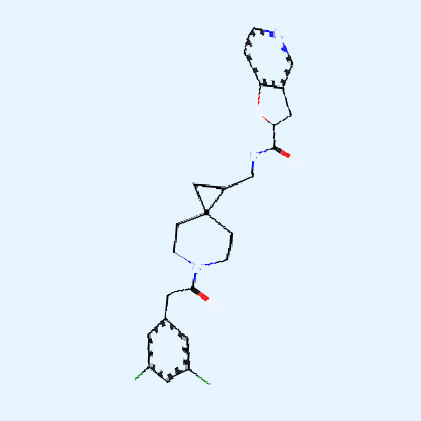 O=C(NCC1CC12CCN(C(=O)Cc1cc(F)cc(F)c1)CC2)C1Cc2cnccc2O1